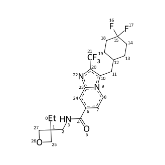 CCC1(CNC(=O)c2ccn3c(CC4CCC(F)(F)CC4)c(C(F)(F)F)nc3c2)COC1